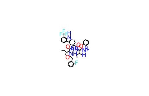 CCC(C)[C@H](NC(=O)Cc1ccccc1F)C(=O)N[C@]1(C(=O)N[C@H](C(=O)NN(C)c2ccccc2)C(C)CC)CCc2[nH]c3c(C(F)(F)F)cccc3c2C1